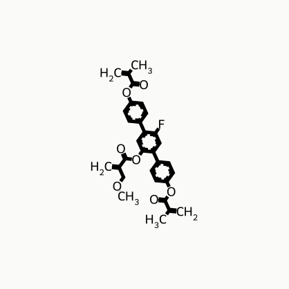 C=C(C)C(=O)Oc1ccc(-c2cc(OC(=O)C(=C)COC)c(-c3ccc(OC(=O)C(=C)C)cc3)cc2F)cc1